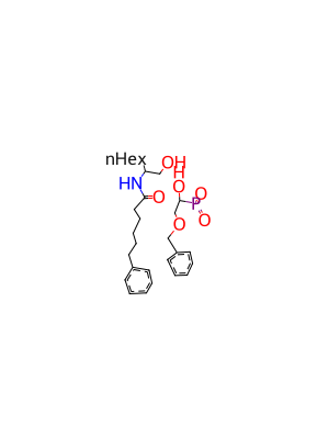 CCCCCCC(CO)NC(=O)CCCCCc1ccccc1.O=P(=O)C(O)COCc1ccccc1